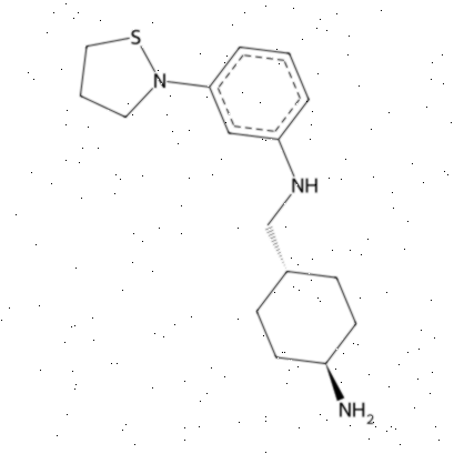 N[C@H]1CC[C@H](CNc2cccc(N3CCCS3)c2)CC1